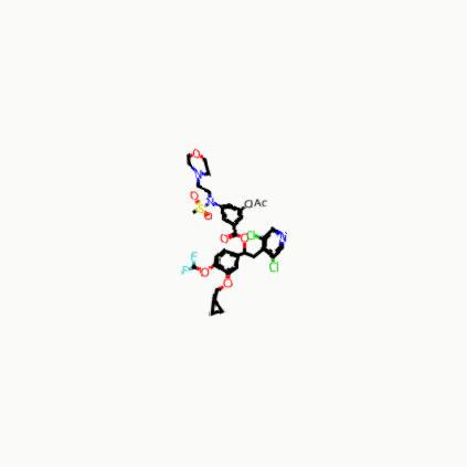 CC(=O)Oc1cc(C(=O)OC(Cc2c(Cl)cncc2Cl)c2ccc(OC(F)F)c(OCC3CC3)c2)cc(N(CCN2CCOCC2)S(C)(=O)=O)c1